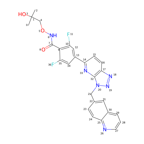 CC(C)(O)CONC(=O)c1c(F)cc(-c2ccc3nnn(Cc4ccc5ncccc5c4)c3n2)cc1F